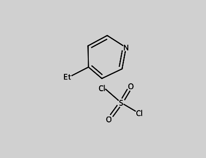 CCc1ccncc1.O=S(=O)(Cl)Cl